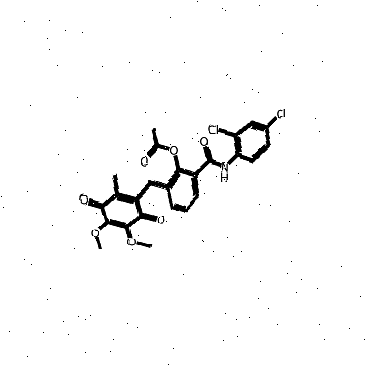 COC1=C(OC)C(=O)C(Cc2cccc(C(=O)Nc3ccc(Cl)cc3Cl)c2OC(C)=O)=C(C)C1=O